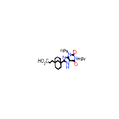 CCCn1c(=O)c2[nH]c(C34CCCC(CCC(=O)O)(CCC3)C4)nc2n(CCC)c1=O